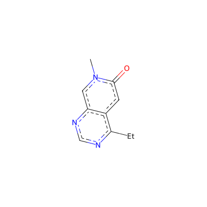 CCc1ncnc2cn(C)c(=O)cc12